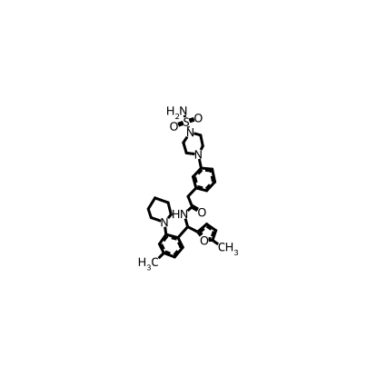 Cc1ccc(C(NC(=O)Cc2cccc(N3CCN(S(N)(=O)=O)CC3)c2)c2ccc(C)o2)c(N2CCCCC2)c1